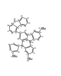 CC(C)(C)c1cccc(N2c3cc(C(C)(C)C)ccc3B3c4ccc(C(C)(C)C)cc4-c4cc(-c5cccc6sc7ccccc7c56)cc2c43)c1